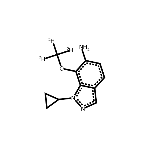 [2H]C([2H])([2H])Oc1c(N)ccc2cnn(C3CC3)c12